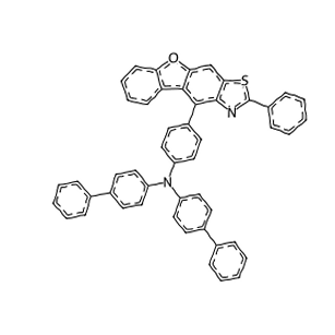 c1ccc(-c2ccc(N(c3ccc(-c4ccccc4)cc3)c3ccc(-c4c5nc(-c6ccccc6)sc5cc5oc6ccccc6c45)cc3)cc2)cc1